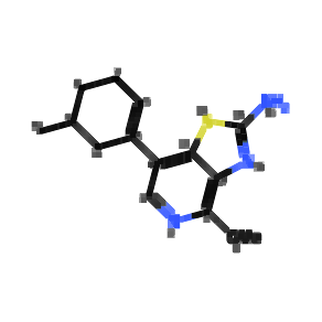 COc1ncc(C2=CCCC(C)C2)c2sc(N)nc12